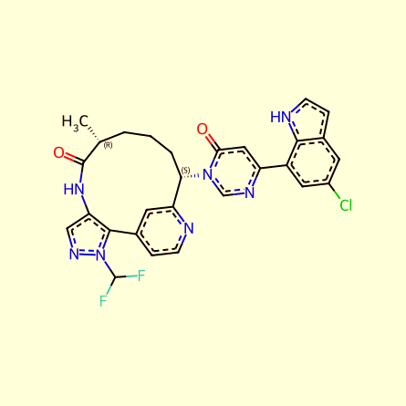 C[C@@H]1CCC[C@H](n2cnc(-c3cc(Cl)cc4cc[nH]c34)cc2=O)c2cc(ccn2)-c2c(cnn2C(F)F)NC1=O